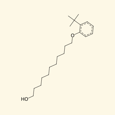 CC(C)(C)c1ccccc1OCCCCCCCCCCCO